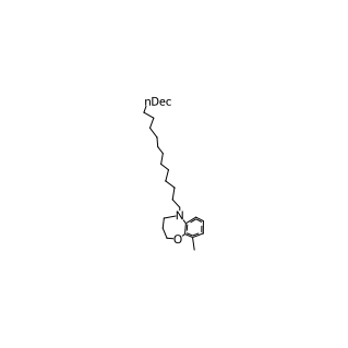 CCCCCCCCCCCCCCCCCCCCCCN1CCCOc2c(C)cccc21